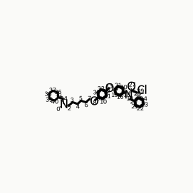 CN(CCCCCCOc1ccc(Oc2ccc(N(Cc3ccccc3)C(=O)CCl)cc2)cc1)CC1CCCCC1